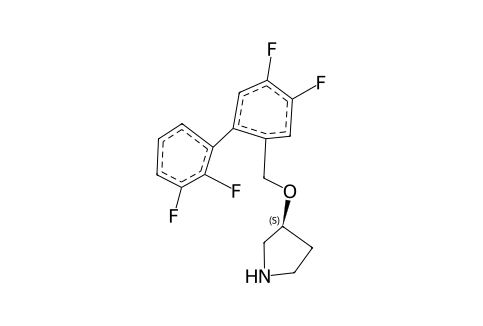 Fc1cc(CO[C@H]2CCNC2)c(-c2cccc(F)c2F)cc1F